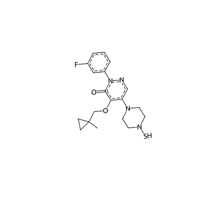 CC1(COc2c(N3CCN(S)CC3)cnn(-c3cccc(F)c3)c2=O)CC1